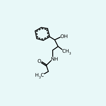 CCC(=O)NCC(C)C(O)c1ccccc1